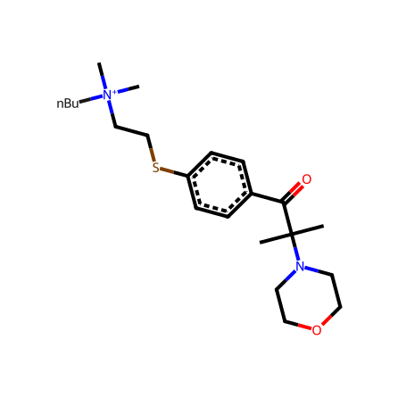 CCCC[N+](C)(C)CCSc1ccc(C(=O)C(C)(C)N2CCOCC2)cc1